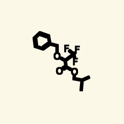 CC(C)COC(=O)C(OCc1ccccc1)C(F)(F)F